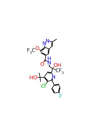 Cc1cc2cc(C(=O)NC[C@](O)(c3cc(C(C)(C)O)c(Cl)c(-c4ccc(F)cc4)n3)C(F)(F)F)cc(OC(F)(F)F)c2nn1